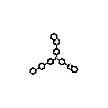 c1ccc(-c2ccc(-c3ccc(N(c4ccc(-c5ccc6ccccc6c5)cc4)c4ccc(-c5cc6ccccc6s5)cc4)cc3)cc2)cc1